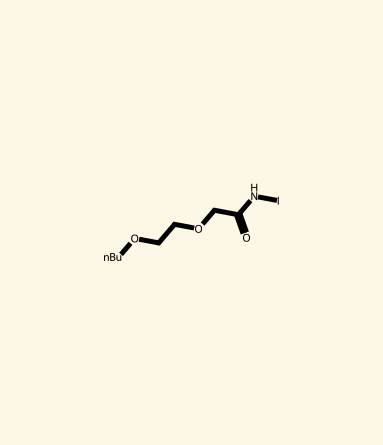 CCCCOCCOCC(=O)NI